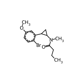 CCCC(=O)N(C)C1CC1c1cc(OC)ccc1Br